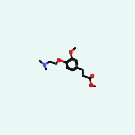 COC(=O)CCc1ccc(OCCN(C)C)c(OC)c1